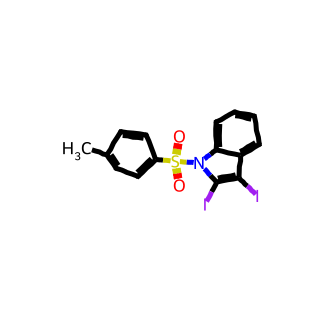 Cc1ccc(S(=O)(=O)n2c(I)c(I)c3ccccc32)cc1